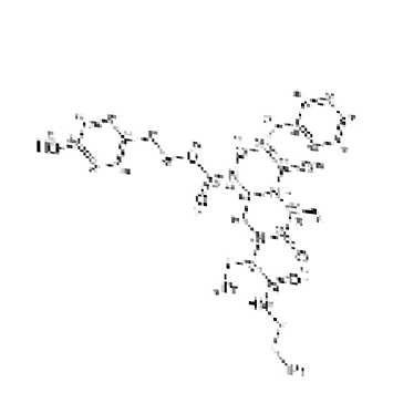 CC(C)CCNC(=O)C(CC(C)C)N1CC2N(C(=O)OCCc3ccc(O)cc3)O[C@H](Cc3ccccc3)C(=O)N2[C@@H](C)C1=O